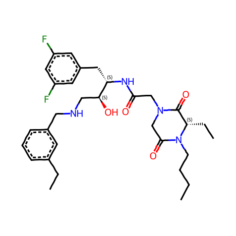 CCCCN1C(=O)CN(CC(=O)N[C@@H](Cc2cc(F)cc(F)c2)[C@@H](O)CNCc2cccc(CC)c2)C(=O)[C@@H]1CC